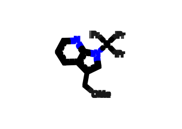 COCc1cn([Si](C(C)C)(C(C)C)C(C)C)c2ncccc12